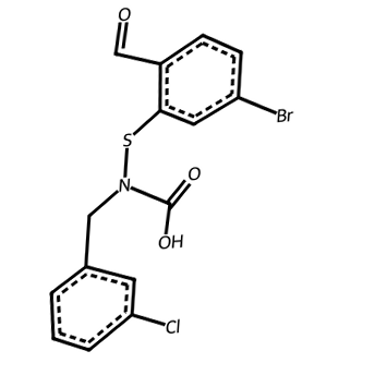 O=Cc1ccc(Br)cc1SN(Cc1cccc(Cl)c1)C(=O)O